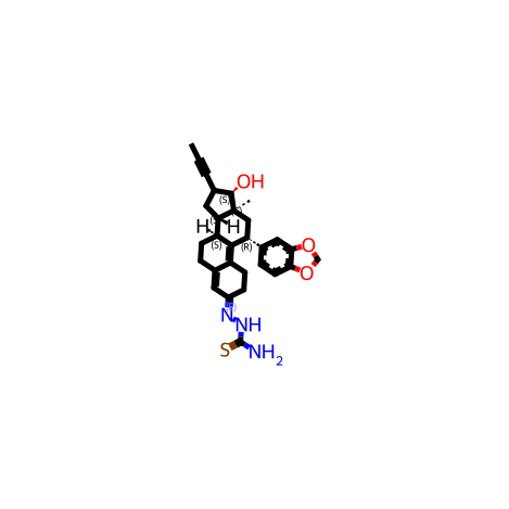 CC#CC1C[C@H]2[C@@H]3CCC4=C/C(=N/NC(N)=S)CCC4=C3[C@@H](c3ccc4c(c3)OCO4)C[C@]2(C)[C@H]1O